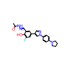 CC(=O)N/N=C/c1cc(-c2cnn(-c3ccc(N4CCCC4)cc3)c2)cc(F)c1O